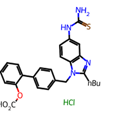 CCCCc1nc2cc(NC(N)=S)ccc2n1Cc1ccc(-c2ccccc2OC(=O)O)cc1.Cl